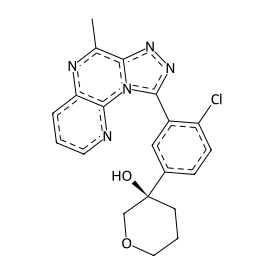 Cc1nc2cccnc2n2c(-c3cc([C@]4(O)CCCOC4)ccc3Cl)nnc12